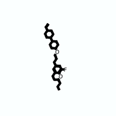 C=CC1CCC(C2CCC(OCCCc3cc(F)c4c(c3)CCC(CCC)O4)CC2)CC1